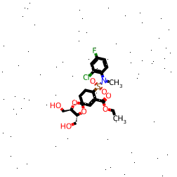 CCOC(=O)C1=CC2(CCC1S(=O)(=O)N(C)c1ccc(F)cc1Cl)O[C@H](CO)[C@@H](CO)O2